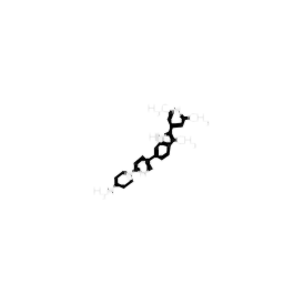 Cc1cc(-c2[nH]c3cc(-c4ccc(N5CCC(N)CC5)nc4)ccc3c2C)cc(C)n1